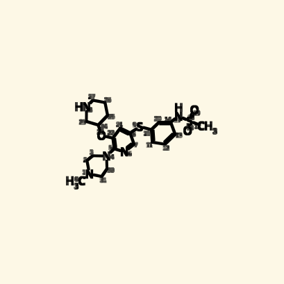 CN1CCN(c2ncc(Sc3cccc(NS(C)(=O)=O)c3)cc2OC2CCCNC2)CC1